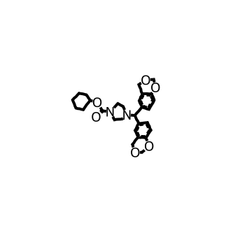 O=C(OC1CCCCC1)N1CCN(C(c2ccc3c(c2)COCO3)c2ccc3c(c2)COCO3)CC1